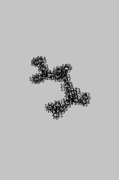 c1ccc(-n2c3ccccc3c3ccccc32)c(-c2ccc(-c3ccc(N(c4ccc(-c5cccc6ccccc56)cc4)c4ccc(-c5ccc(-c6ccc(-n7c8ccccc8c8ccccc87)c(-c7ccc(-c8ccc(N(c9ccc(-c%10cccc%11ccccc%10%11)cc9)c9ccc%10ccccc%10c9)cc8)cc7)c6)cc5)c5ccccc45)cc3)cc2)c1